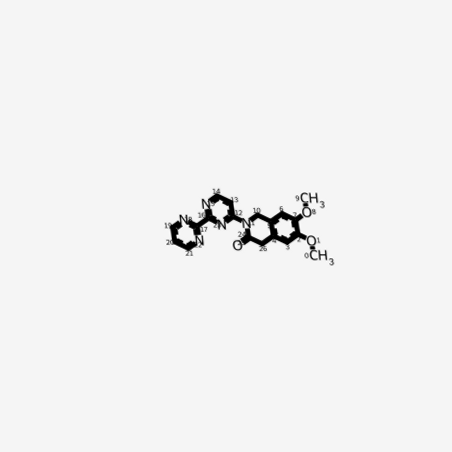 COc1cc2c(cc1OC)CN(c1ccnc(-c3ncccn3)n1)C(=O)C2